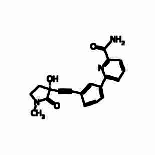 CN1CC[C@@](O)(C#Cc2cccc(-c3cccc(C(N)=O)n3)c2)C1=O